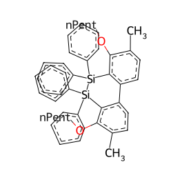 CCCCCOc1c(C)ccc2c1[Si](c1ccccc1)(c1ccccc1)[Si](c1ccccc1)(c1ccccc1)c1c-2ccc(C)c1OCCCCC